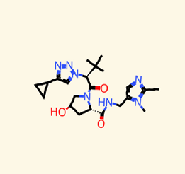 Cc1ncc(CNC(=O)[C@@H]2C[C@@H](O)CN2C(=O)[C@@H](n2cc(C3CC3)nn2)C(C)(C)C)n1C